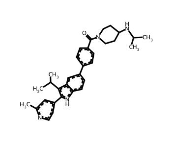 Cc1cc(-c2[nH]c3ccc(-c4ccc(C(=O)N5CCC(NC(C)C)CC5)cc4)cc3c2C(C)C)ccn1